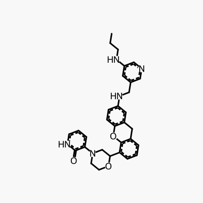 CCCNc1cncc(CNc2ccc3c(c2)Cc2cccc(C4CN(c5ccc[nH]c5=O)CCO4)c2O3)c1